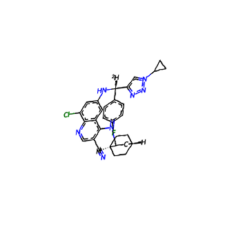 [2H][C@](Nc1cc(Cl)c2ncc(C#N)c(NC3C[C@H]4CC[C@H]3CC4)c2c1)(c1ccc(F)cc1)c1cn(C2CC2)nn1